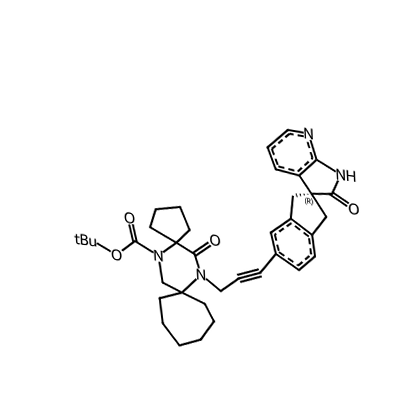 CC(C)(C)OC(=O)N1CC2(CCCCCC2)N(CC#Cc2ccc3c(c2)C[C@@]2(C3)C(=O)Nc3ncccc32)C(=O)C12CCCC2